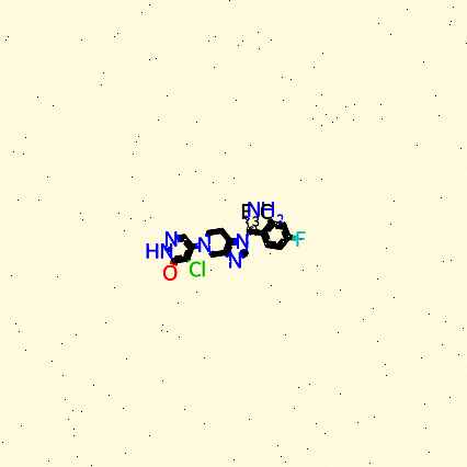 NC[C@H](c1ccc(F)cc1C(F)(F)F)n1cnc2c1CCN(c1cn[nH]c(=O)c1Cl)C2